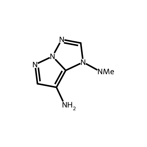 CNn1cnn2ncc(N)c12